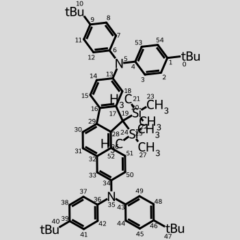 CC(C)(C)c1ccc(N(c2ccc(C(C)(C)C)cc2)c2ccc3c(c2)C([Si](C)(C)C)([Si](C)(C)C)c2c-3ccc3cc(N(c4ccc(C(C)(C)C)cc4)c4ccc(C(C)(C)C)cc4)ccc23)cc1